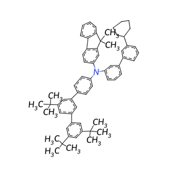 CC(C)(C)c1cc(-c2ccc(N(c3cccc(-c4cccc(C5CCCCC5)c4)c3)c3ccc4c(c3)C(C)(C)c3ccccc3-4)cc2)cc(-c2cc(C(C)(C)C)cc(C(C)(C)C)c2)c1